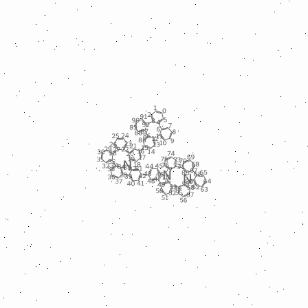 c1ccc2c(c1)-c1ccccc1-c1ccc(-c3ccc4c(c3)c3ccccc3c3ccccc3c3cccc5c6ccc(-c7ccc8c(c7)c7cccc9c%10ccccc%10n%10c%11ccccc%11c%11cccc(c%12ccccc%12n8c97)c%11%10)cc6n4c35)cc1-c1ccccc1-2